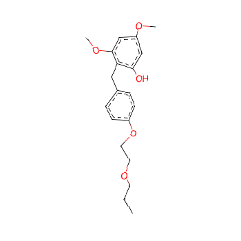 CCCOCCOc1ccc(Cc2c(O)cc(OC)cc2OC)cc1